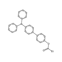 CCC(=O)Oc1ccc(-c2ccc(N(c3ccccc3)c3ccccc3)cc2)cc1